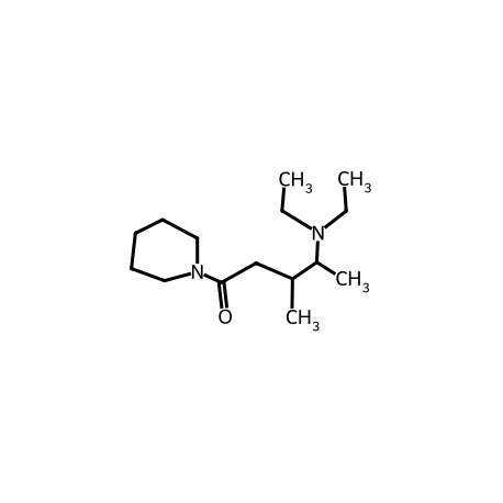 CCN(CC)C(C)C(C)CC(=O)N1CCCCC1